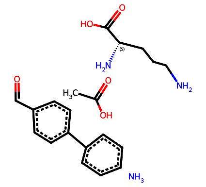 CC(=O)O.N.NCCC[C@H](N)C(=O)O.O=Cc1ccc(-c2ccccc2)cc1